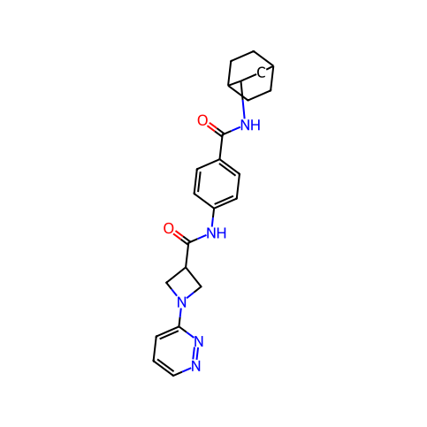 O=C(NC1CC2CCC1CC2)c1ccc(NC(=O)C2CN(c3cccnn3)C2)cc1